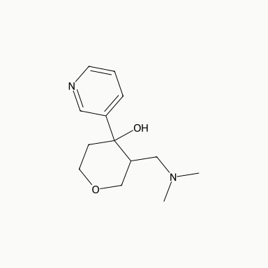 CN(C)CC1COCCC1(O)c1cccnc1